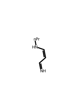 CCCN/C=C\C=N